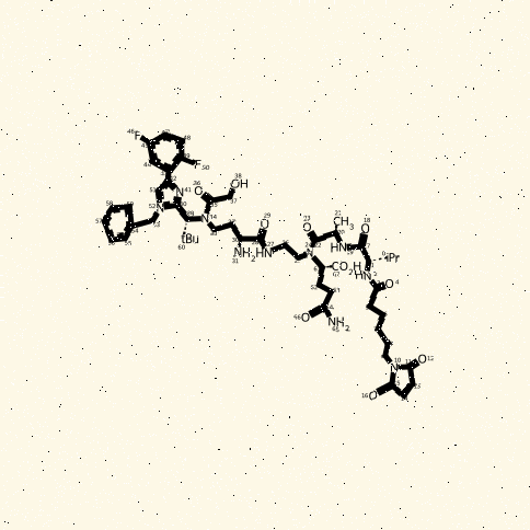 CC(C)[C@H](NC(=O)CCCCCN1C(=O)C=CC1=O)C(=O)N[C@@H](C)C(=O)N(CCNC(=O)[C@@H](N)CCN(C(=O)CO)[C@@H](c1nc(-c2cc(F)ccc2F)cn1Cc1ccccc1)C(C)(C)C)[C@@H](CCC(N)=O)C(=O)O